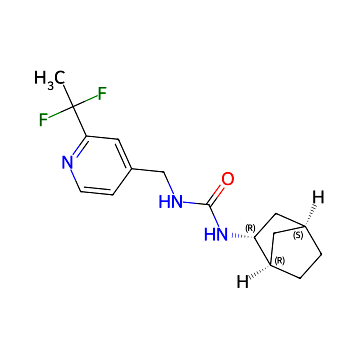 CC(F)(F)c1cc(CNC(=O)N[C@@H]2C[C@H]3CC[C@@H]2C3)ccn1